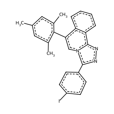 Cc1cc(C)c(-c2cn3c(-c4ccc(I)cc4)nnc3c3ccccc23)c(C)c1